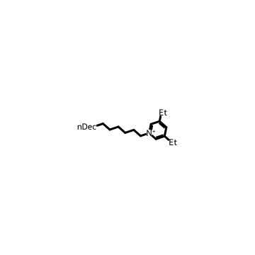 CCCCCCCCCCCCCCCC[n+]1cc(CC)cc(CC)c1